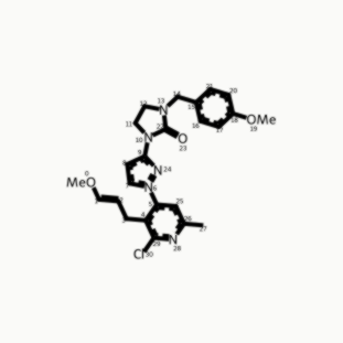 COC=CCc1c(-n2ccc(N3CCN(Cc4ccc(OC)cc4)C3=O)n2)cc(C)nc1Cl